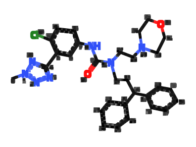 Cn1nnc(-c2cc(NC(=O)N(CCC(c3ccccc3)c3ccccc3)CCN3CCOCC3)ccc2Cl)n1